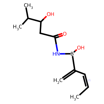 C=C(/C=C\C)B(O)NC(=O)CC(O)C(C)C